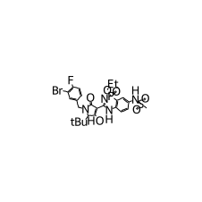 CCOP1(=O)N=C(C2=C(O)C(C(C)(C)C)N(Cc3ccc(F)c(Br)c3)C2=O)Nc2ccc(NS(C)(=O)=O)cc21